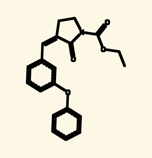 CCOC(=O)N1CCC(=Cc2cccc(Oc3ccccc3)c2)C1=O